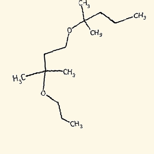 CCCOC(C)(C)CCOC(C)(C)CCC